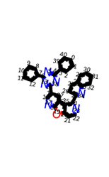 c1ccc(-c2nc(-c3ccccc3)nc(-c3cnc4oc5ccnc(-c6ccc7ccccc7n6)c5c4c3)n2)cc1